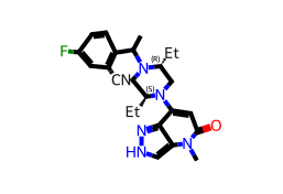 CC[C@H]1CN(C(C)c2ccc(F)cc2C#N)[C@H](CC)CN1c1cc(=O)n(C)c2c[nH]nc12